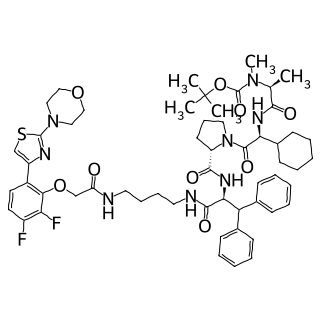 C[C@@H](C(=O)N[C@H](C(=O)N1CCC[C@H]1C(=O)N[C@H](C(=O)NCCCCNC(=O)COc1c(-c2csc(N3CCOCC3)n2)ccc(F)c1F)C(c1ccccc1)c1ccccc1)C1CCCCC1)N(C)C(=O)OC(C)(C)C